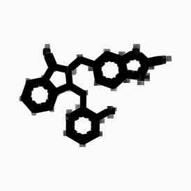 O=C1c2ccccc2C(Cc2ncccc2Br)N1Cc1ccc2[nH]c(=S)oc2c1